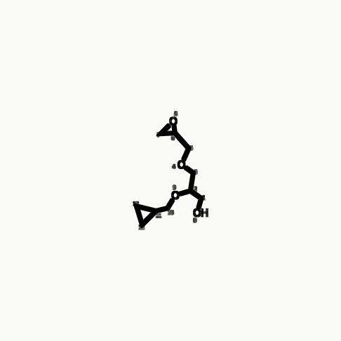 OCC(COCC1CO1)OCC1CC1